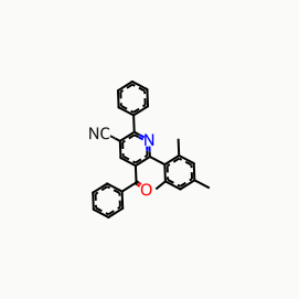 Cc1cc(C)c(-c2nc(-c3ccccc3)c(C#N)cc2C(=O)c2ccccc2)c(C)c1